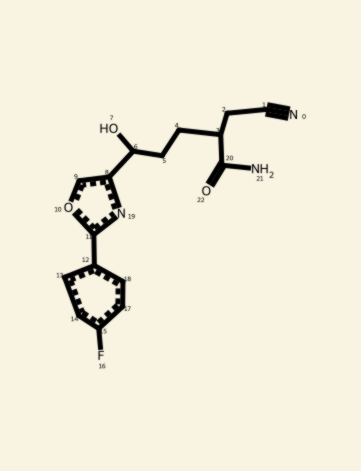 N#CCC(CCC(O)c1coc(-c2ccc(F)cc2)n1)C(N)=O